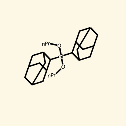 CCCO[Si](OCCC)(C1C2CC3CC(C2)CC1C3)C1C2CC3CC(C2)CC1C3